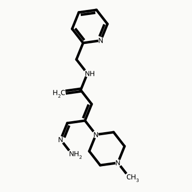 C=C(/C=C(\C=N/N)N1CCN(C)CC1)NCc1ccccn1